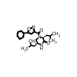 CC(C)C[C@H]1CN(C(=O)c2cc(-c3ccccc3)on2)[C@@H](CC(C)C)C(=O)N1